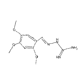 COc1cc(OC)c(OC)cc1/C=N/NC(=N)N